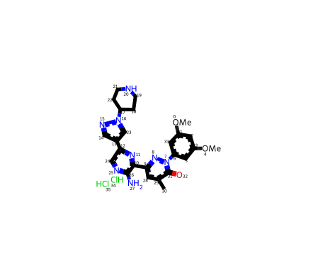 COc1cc(OC)cc(-n2nc(-c3nc(-c4cnn(C5CCNCC5)c4)cnc3N)cc(C)c2=O)c1.Cl.Cl